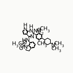 COc1cc(C2CCC(N(C)C)CC2)c(C)cc1C1(N)N=C(Nc2cccc3c2N(S(C)(=O)=O)CC3)c2cc[nH]c2N1